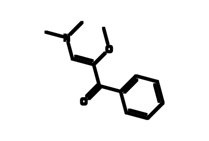 COC(=CN(C)C)C(=O)c1ccccc1